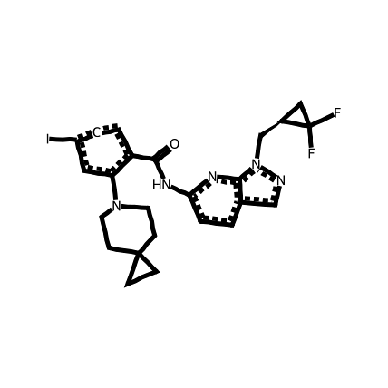 O=C(Nc1ccc2cnn(C[C@H]3CC3(F)F)c2n1)c1ccc(I)cc1N1CCC2(CC1)CC2